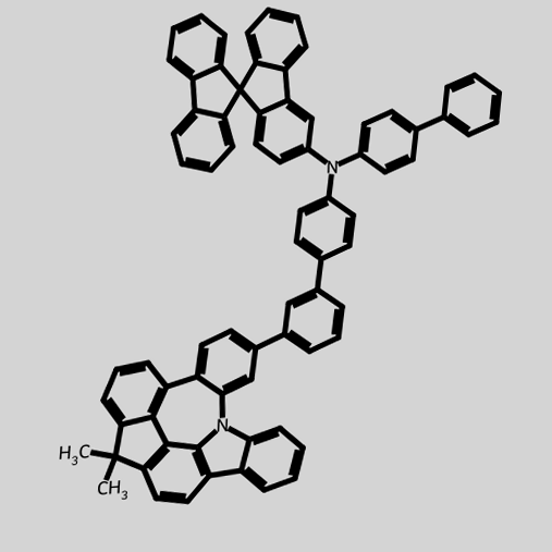 CC1(C)c2cccc3c2-c2c1ccc1c4ccccc4n(c21)-c1cc(-c2cccc(-c4ccc(N(c5ccc(-c6ccccc6)cc5)c5ccc6c(c5)-c5ccccc5C65c6ccccc6-c6ccccc65)cc4)c2)ccc1-3